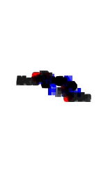 COC(=O)NC(C(=O)N1CCCC1c1ncc(-c2ccc(-c3cnc(C4CCCN4C(=O)C(NC(=O)OC)C(C)C)[nH]3)cc2)[nH]1)C(C)C